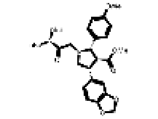 CCCCN(CCCC)C(=O)CN1C[C@@H](c2ccc3c(c2)OCO3)[C@H](C(=O)OC)[C@H]1c1ccc(OC)cc1